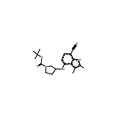 Cc1[nH]c2c(C#N)ccc(NC3CCN(C(=O)OC(C)(C)C)C3)c2c1C